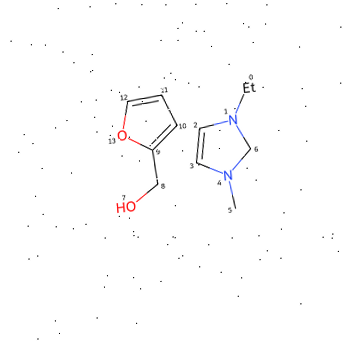 CCN1C=CN(C)C1.OCc1ccco1